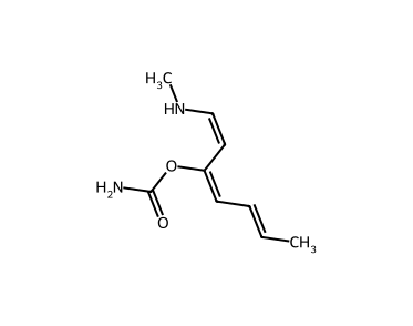 C/C=C/C=C(\C=C/NC)OC(N)=O